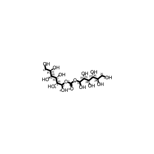 O=C(OC(O)[C@H](O)[C@@H](O)[C@H](O)[C@H](O)CO)OC(O)[C@H](O)[C@@H](O)[C@H](O)[C@H](O)CO